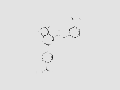 Cc1csc2nc(-c3ccc(C(=O)O)cc3)nc(NCc3cccc([N+](=O)[O-])c3)c12